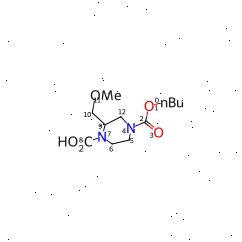 CCCCOC(=O)N1CCN(C(=O)O)C(COC)C1